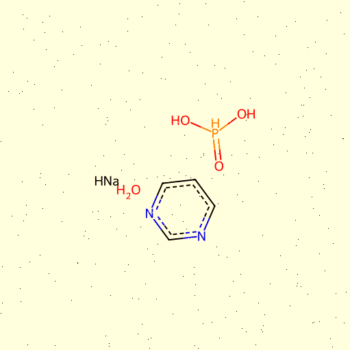 O.O=[PH](O)O.[NaH].c1cncnc1